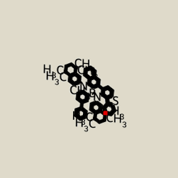 Cc1cc2c(cc1N1c3ccc(-c4ccccc4)cc3B3c4c(cc5ccccc5c41)-c1ccc4sc5ccccc5c4c1N3c1ccc3c(c1)C(C)(C)CCC3(C)C)C(C)(C)CCC2(C)C